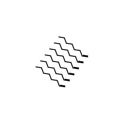 C=CCCCCCC.C=CCCCCCC.C=CCCCCCC.C=CCCCCCC.C=CCCCCCC.C=CCCCCCC